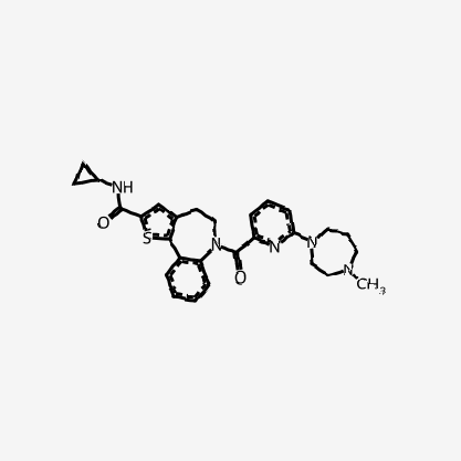 CN1CCCN(c2cccc(C(=O)N3CCc4cc(C(=O)NC5CC5)sc4-c4ccccc43)n2)CC1